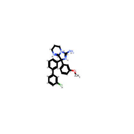 COc1cccc(C2(c3cccc(-c4cccc(Cl)c4)c3)N=C(N)N3CCCN=C32)c1